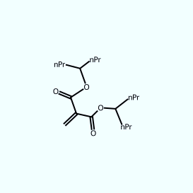 C=C(C(=O)OC(CCC)CCC)C(=O)OC(CCC)CCC